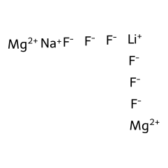 [F-].[F-].[F-].[F-].[F-].[F-].[Li+].[Mg+2].[Mg+2].[Na+]